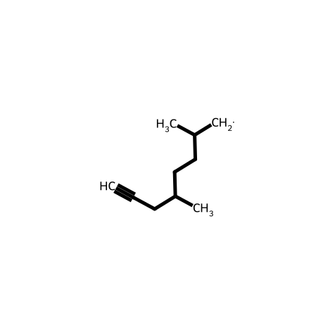 C#CCC(C)CCC([CH2])C